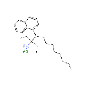 CCCCCCCCC(c1cccc2ccccc12)C(N)(CC)CC.Cl